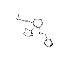 C[Si](C)(C)C#Cc1cccc(OCc2ccccc2)c1C1OCCO1